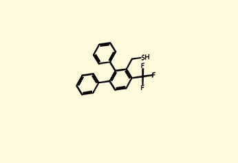 FC(F)(F)c1ccc(-c2ccccc2)c(-c2ccccc2)c1CS